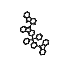 c1ccc([Si](c2ccccc2)(c2cccc(-n3c4ccccc4c4ccccc43)c2)c2ccc3c(c2)c2ccccc2n3-c2nccc3c2sc2ccccc23)cc1